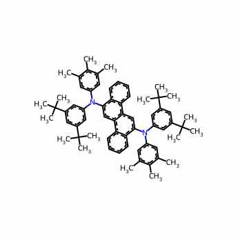 Cc1cc(N(c2cc(C(C)(C)C)cc(C(C)(C)C)c2)c2cc3c4ccccc4c(N(c4cc(C(C)(C)C)cc(C(C)(C)C)c4)c4cc(C)c(C)c(C)c4)cc3c3ccccc23)cc(C)c1C